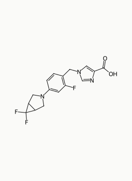 O=C(O)c1cn(Cc2ccc(N3CC4C(C3)C4(F)F)cc2F)cn1